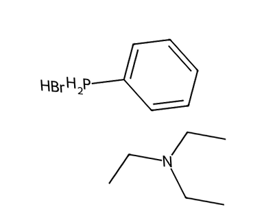 Br.CCN(CC)CC.Pc1ccccc1